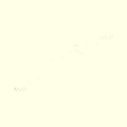 COc1ccc(C#Cc2ccc(/C=C/C(=O)Oc3ccc(C(=O)O)cc3)cc2)cc1